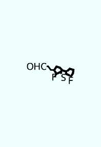 O=CCCc1ccc2c(sc3c(F)cccc32)c1F